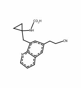 N#CCCc1cc(CC2(NC(=O)O)CC2)c2ncccc2c1